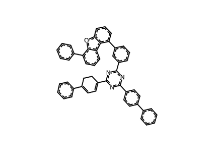 C1=C(c2ccccc2)CCC(c2nc(-c3ccc(-c4ccccc4)cc3)nc(-c3cccc(-c4cccc5oc6c(-c7ccccc7)cccc6c45)c3)n2)=C1